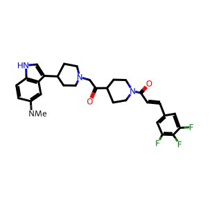 CNc1ccc2[nH]cc(C3CCN(CC(=O)C4CCN(C(=O)/C=C/c5cc(F)c(F)c(F)c5)CC4)CC3)c2c1